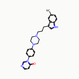 N#Cc1ccc2[nH]cc(CCCN3CCN(c4ccc(-n5cnccc5=O)cc4)CC3)c2c1